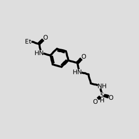 CCC(=O)Nc1ccc(C(=O)NCCN[SH](=O)=O)cc1